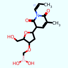 C/C=C\N1C(=O)C(C)=CC(C2CC(OCB(O)O)C(CO)O2)C1=O